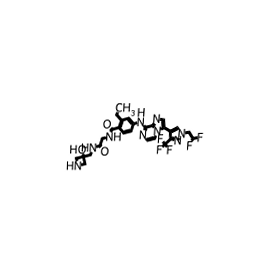 CCc1cc(Nc2nccn3c(-c4cn(CC(F)F)nc4C(F)(F)F)cnc23)ccc1C(=O)NCC(=O)NCC1(O)CNC1